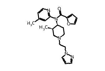 Cc1ccnc(N(C(=O)c2ccco2)[C@H]2CCN(CCn3cccn3)C[C@H]2C)c1